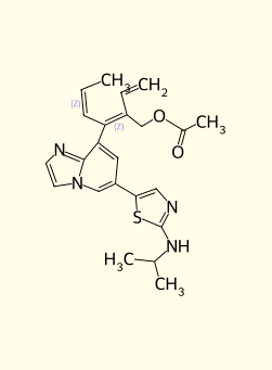 C=C/C(COC(C)=O)=C(\C=C/C)c1cc(-c2cnc(NC(C)C)s2)cn2ccnc12